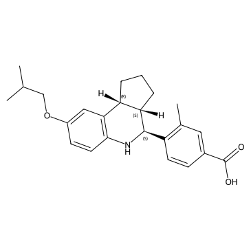 Cc1cc(C(=O)O)ccc1[C@H]1Nc2ccc(OCC(C)C)cc2[C@@H]2CCC[C@H]12